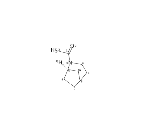 O=C(S)N1CCC2CC[C@@H]1C2